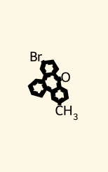 Cc1ccc2c(=O)c3ccc(Br)cc3c3ccccc3c2c1